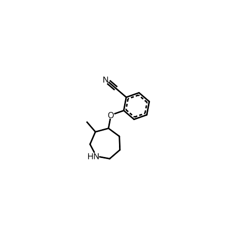 CC1CNCCCC1Oc1ccccc1C#N